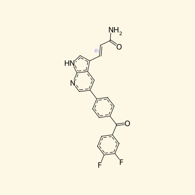 NC(=O)/C=C/c1c[nH]c2ncc(-c3ccc(C(=O)c4ccc(F)c(F)c4)cc3)cc12